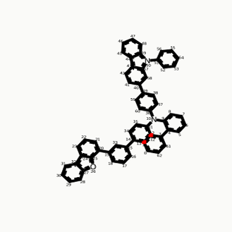 c1ccc(-c2ccccc2N(c2ccc(-c3cccc(-c4cccc5c4oc4ccccc45)c3)cc2)c2ccc(-c3ccc4c5ccccc5n(-c5ccccc5)c4c3)cc2)cc1